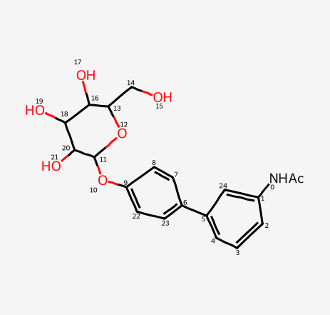 CC(=O)Nc1cccc(-c2ccc(OC3OC(CO)C(O)C(O)C3O)cc2)c1